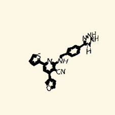 N#Cc1c(-c2ccoc2)cc(-c2cccs2)nc1NCc1ccc(C2=NNNN2)cc1